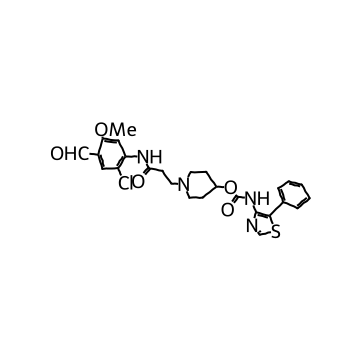 COc1cc(NC(=O)CCN2CCC(OC(=O)Nc3ncsc3-c3ccccc3)CC2)c(Cl)cc1C=O